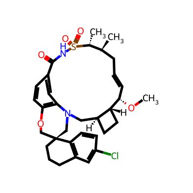 CO[C@H]1/C=C/C[C@H](C)[C@@H](C)S(=O)(=O)NC(=O)c2ccc3c(c2)N(C[C@@H]2CC[C@H]21)C[C@@]1(CCCc2cc(Cl)ccc21)CO3